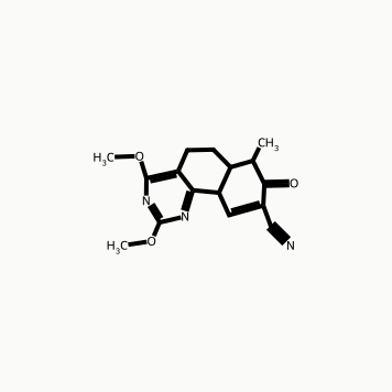 COc1nc(OC)c2c(n1)C1C=C(C#N)C(=O)C(C)C1CC2